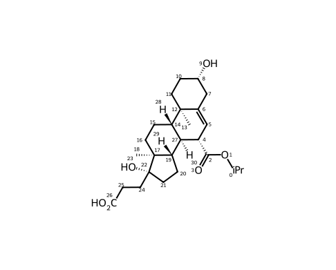 CC(C)OC(=O)[C@H]1C=C2C[C@@H](O)CC[C@]2(C)[C@H]2CC[C@@]3(C)[C@@H](CC[C@@]3(O)CCC(=O)O)[C@H]12